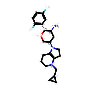 N[C@H]1C[C@@H](N2CCC3=C2CCCN3CC2CC2)CO[C@@H]1c1cc(F)ccc1F